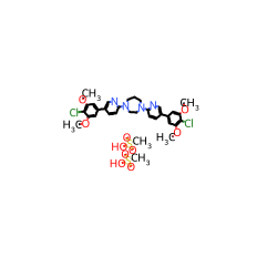 COc1cc(-c2ccc(N3CCCN(c4ccc(-c5cc(OC)c(Cl)c(OC)c5)cn4)CC3)nc2)cc(OC)c1Cl.CS(=O)(=O)O.CS(=O)(=O)O